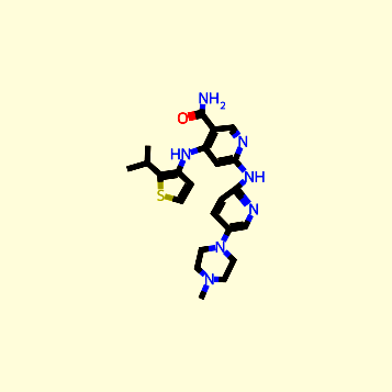 CC(C)c1sccc1Nc1cc(Nc2ccc(N3CCN(C)CC3)cn2)ncc1C(N)=O